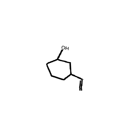 C=[C]C1CCCC(O)C1